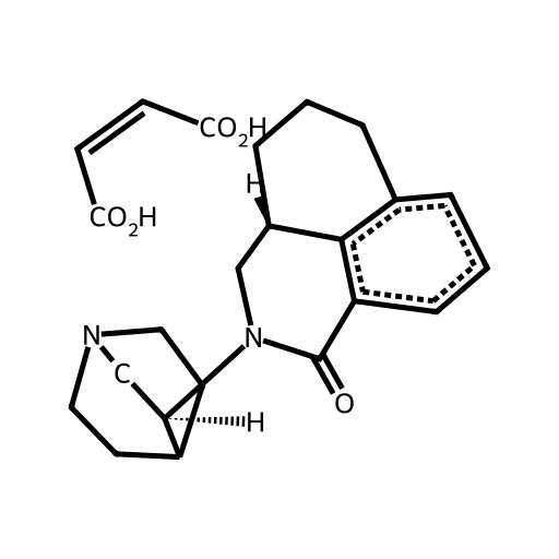 O=C(O)/C=C\C(=O)O.O=C1c2cccc3c2[C@@H](CCC3)CN1[C@@H]1CN2CCC1CC2